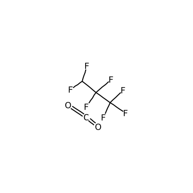 FC(F)C(F)(F)C(F)(F)F.O=C=O